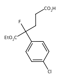 CCOC(=O)C(F)(CCC(=O)O)c1ccc(Cl)cc1